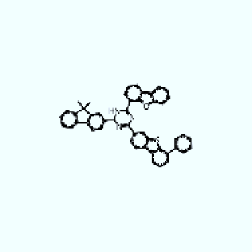 CC1(C)c2ccccc2-c2ccc(C3N=C(c4ccc5c(c4)sc4c(-c6ccccc6)cccc45)N=C(c4cccc5c4oc4ccccc45)N3)cc21